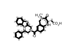 CN1Cc2cc(C(=O)N(CCc3ccccc3)Cc3nc4ccccc4[nH]3)ccc2N[C@@H](CC(=O)O)C1=O